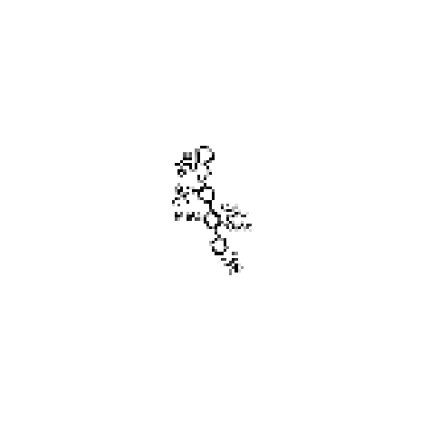 COc1cc(-c2ccc(OS(C)(=O)=O)cc2)c(OC)c(OS(C)(=O)=O)c1-c1ccc(OCc2ccccc2N(C)S(C)(=O)=O)c(OS(C)(=O)=O)c1